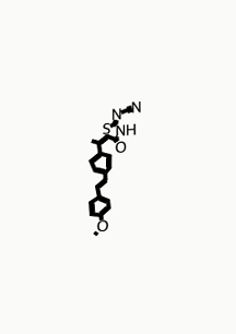 COc1ccc(/C=C/c2ccc(/C(C)=C3/S/C(=N/C#N)NC3=O)cc2)cc1